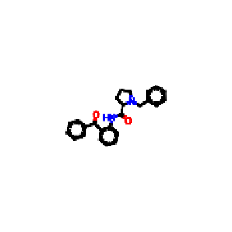 O=C(c1ccccc1)c1ccccc1NC(=O)[C@H]1CCCN1Cc1ccccc1